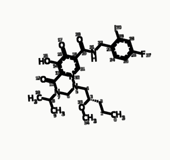 CCC[C@@H](CN1CN(C(C)C)C(=O)c2c(O)c(=O)c(C(=O)NCc3ccc(F)cc3I)cn21)OC